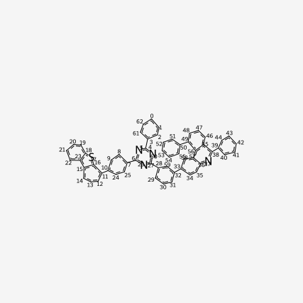 c1ccc(-c2nc(-c3ccc(-c4cccc5c4sc4ccccc45)cc3)nc(-c3cccc(-c4ccc5nc(-c6ccccc6)c6cccc(-c7ccccc7)c6c5c4)c3)n2)cc1